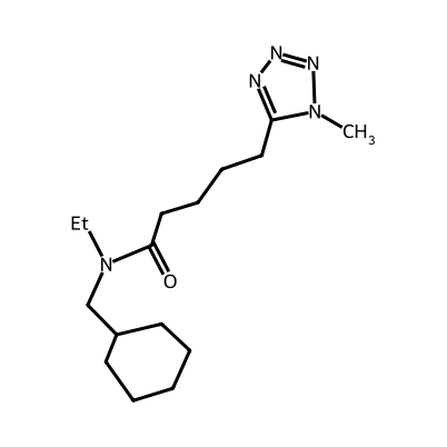 CCN(CC1CCCCC1)C(=O)CCCCc1nnnn1C